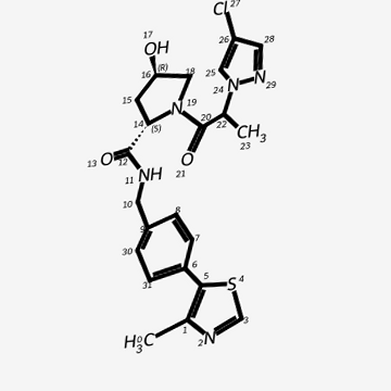 Cc1ncsc1-c1ccc(CNC(=O)[C@@H]2C[C@@H](O)CN2C(=O)C(C)n2cc(Cl)cn2)cc1